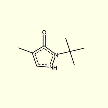 Cc1c[nH]n(C(C)(C)C)c1=O